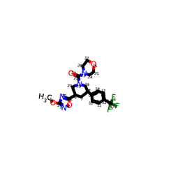 COc1noc(C2CC(c3ccc(C(F)(F)F)cc3)CN(C(=O)N3CCOCC3)C2)n1